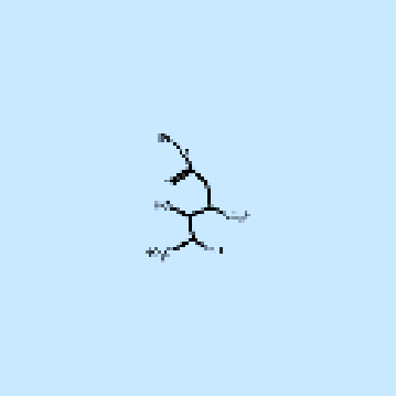 CC(C)OC(=O)CC(C(=O)O)C(O)C(O)C(=O)O